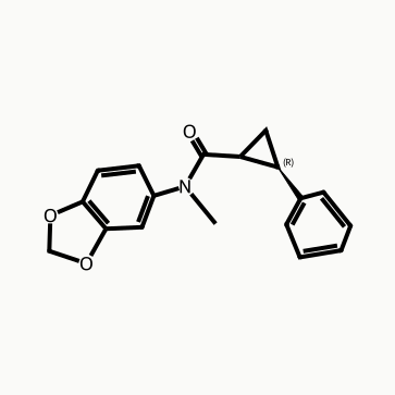 CN(C(=O)C1C[C@H]1c1ccccc1)c1ccc2c(c1)OCO2